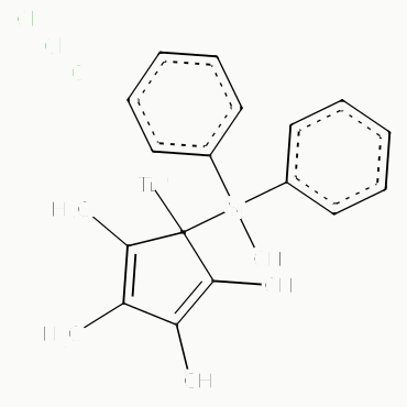 CC1=C(C)[C]([Ti+3])([Si](C)(c2ccccc2)c2ccccc2)C(C)=C1C.[Cl-].[Cl-].[Cl-]